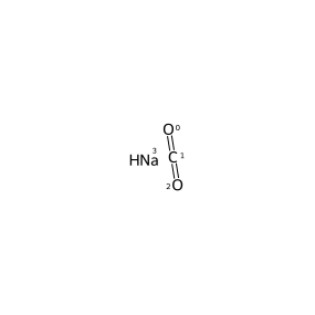 O=C=O.[NaH]